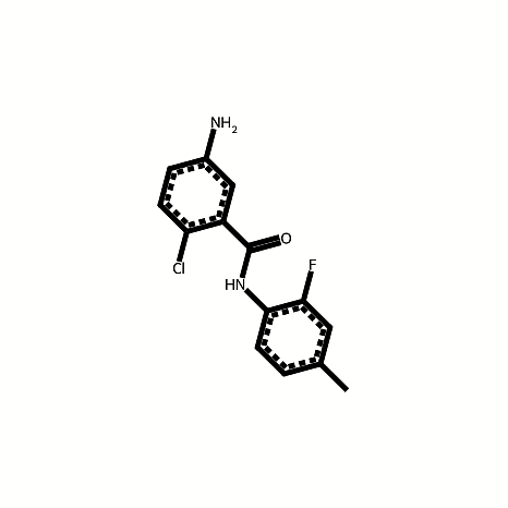 Cc1ccc(NC(=O)c2cc(N)ccc2Cl)c(F)c1